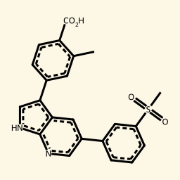 Cc1cc(-c2c[nH]c3ncc(-c4cccc(S(C)(=O)=O)c4)cc23)ccc1C(=O)O